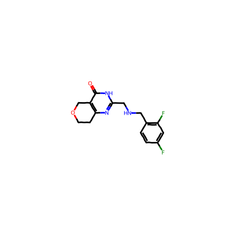 O=c1[nH]c(CNCc2ccc(F)cc2F)nc2c1COCC2